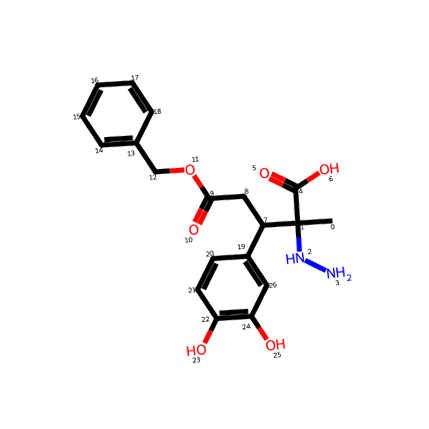 CC(NN)(C(=O)O)C(CC(=O)OCc1ccccc1)c1ccc(O)c(O)c1